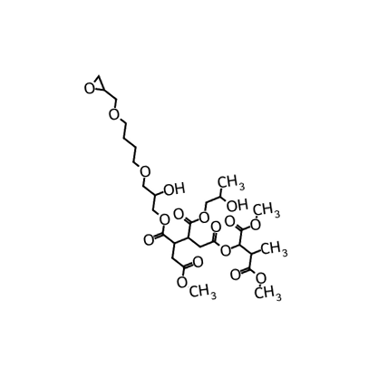 COC(=O)CC(C(=O)OCC(O)COCCCCOCC1CO1)C(CC(=O)OC(C(=O)OC)C(C)C(=O)OC)C(=O)OCC(C)O